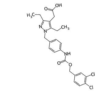 CCc1nn(Cc2ccc(NC(=O)OCc3ccc(Cl)c(Cl)c3)cc2)c(CC)c1CC(=O)O